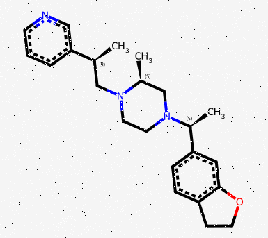 C[C@@H](CN1CCN([C@@H](C)c2ccc3c(c2)OCC3)C[C@@H]1C)c1cccnc1